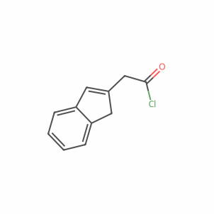 O=C(Cl)CC1=Cc2ccccc2C1